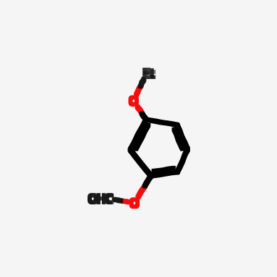 CCOc1cccc(OC=O)c1